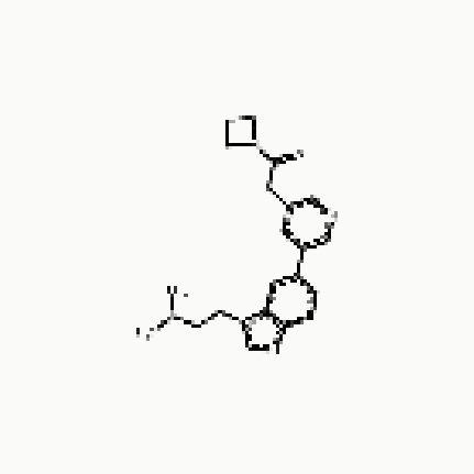 CN(C)CCc1coc2ccc(-c3cncc(CC(=O)N4CCC4)c3)cc12